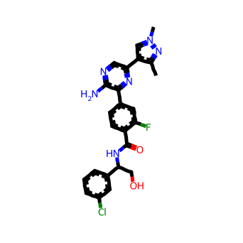 Cc1nn(C)cc1-c1cnc(N)c(-c2ccc(C(=O)NC(CO)c3cccc(Cl)c3)c(F)c2)n1